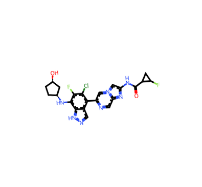 O=C(Nc1cn2cc(-c3c(Cl)c(F)c(N[C@H]4CC[C@@H](O)C4)c4[nH]ncc34)ncc2n1)C1CC1F